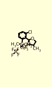 CC1COC(c2c(Cl)cccc2[Si](C)(C)C)=[N+]1C.F[B-](F)(F)F